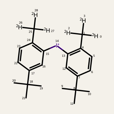 [2H]C([2H])([2H])c1ccc(C(C)(C)C)cc1[I+]c1cc(C(C)(C)C)ccc1C([2H])([2H])[2H]